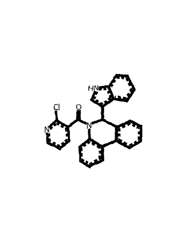 O=C(c1cccnc1Cl)N1c2ccccc2-c2ccccc2C1c1c[nH]c2ccccc12